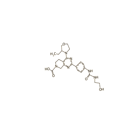 CCC1COCCN1c1nc(-c2ccc(NC(=O)NCCO)cc2)nc2c1CCN(C(=O)O)C2